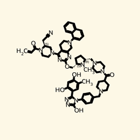 C=CC(=O)N1CCN(c2nc(OC[C@@H]3CC[C@H](CN4CCN(C(=O)C5CCN(Cc6ccc(-n7c(O)nnc7-c7cc(C)c(O)cc7O)cc6)CC5)CC4)N3C)nc3c2CCN(c2cccc4ccccc24)C3)C[C@@H]1CC#N